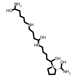 NC(O)CCCCNCCCC(O)NCCCCC(O)N1CCC[C@H]1C(N)O